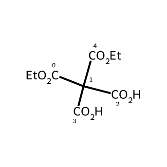 CCOC(=O)C(C(=O)O)(C(=O)O)C(=O)OCC